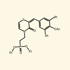 CCOP(=O)(CCN1C=CSC(=Cc2cc(C(C)C)c(OC(C)=O)c(C(C)C)c2)C1=O)OCC